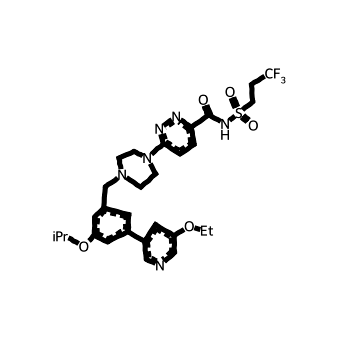 CCOc1cncc(-c2cc(CN3CCN(c4ccc(C(=O)NS(=O)(=O)CCC(F)(F)F)nn4)CC3)cc(OC(C)C)c2)c1